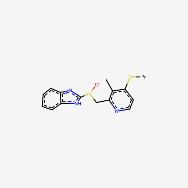 Cc1c(SC(C)C)ccnc1C[S+]([O-])c1nc2ccccc2[nH]1